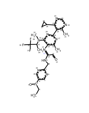 CC[S+]([O-])c1cnc(CN/C(C=O)=N/c2c(C)nc(-c3c(C)ncnc3C3CC3)nc2N(C)C(C)C(F)(F)F)nc1